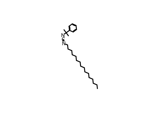 CCCCCCCCCCCCCCCCN=C=NC(C)(C)c1ccccc1